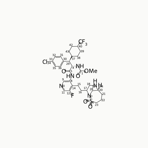 COC(=O)N[C@H](C(=O)Nc1cncc(F)c1CCC1CN[C@@H]2CCCS(=O)(=O)N1C2)[C@@H](c1ccc(Cl)cc1)C1CCC(C(F)(F)F)CC1